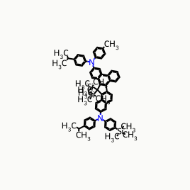 Cc1ccc(N(c2ccc(C(C)C)cc2)c2ccc3c4c(c5ccccc5c3c2)-c2ccc3cc(N(c5ccc(C(C)C)cc5)c5ccc([Si](C)(C)C)cc5)ccc3c2C4([Si](C)(C)C)[Si](C)(C)C)cc1